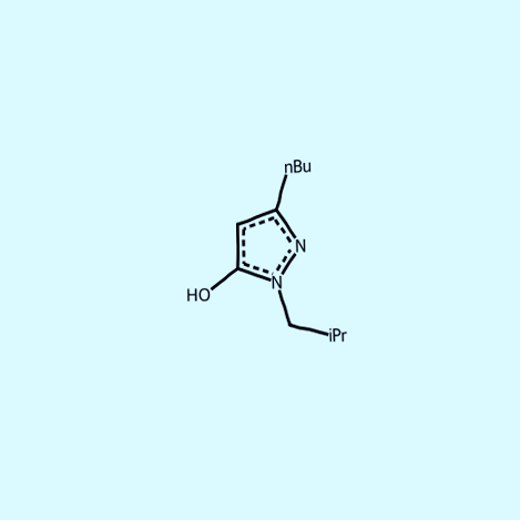 CCCCc1cc(O)n(CC(C)C)n1